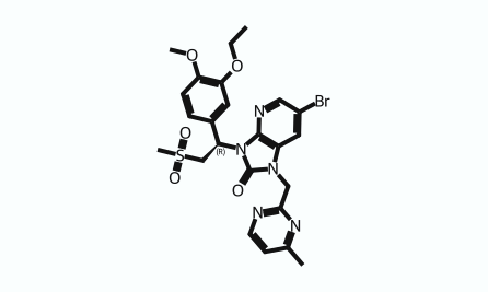 CCOc1cc([C@H](CS(C)(=O)=O)n2c(=O)n(Cc3nccc(C)n3)c3cc(Br)cnc32)ccc1OC